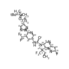 C=C[C@@]1(C(F)(F)F)CN(C(=O)Nc2cnc(-n3ncc(C(C)O[Si](C)(C)C(C)(C)C)n3)c(C(F)F)c2)c2cnc3cc(F)nn3c21